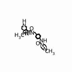 CN1CCN(C(=O)Nc2ccc(CNC(=O)c3nn(C)c4c3CNCC4)cc2)CC1